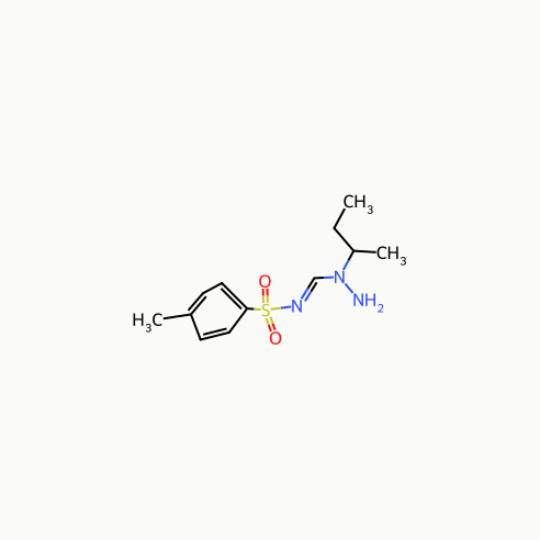 CCC(C)N(N)C=NS(=O)(=O)c1ccc(C)cc1